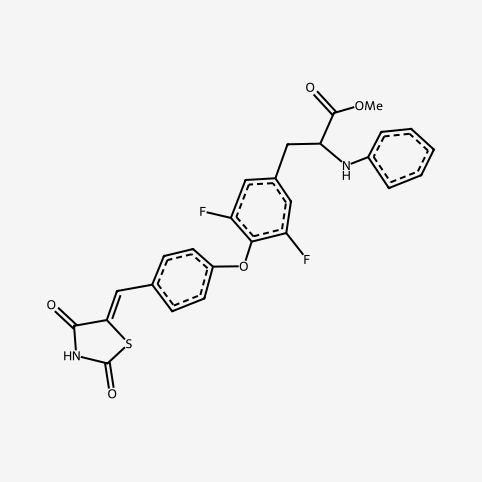 COC(=O)C(Cc1cc(F)c(Oc2ccc(/C=C3\SC(=O)NC3=O)cc2)c(F)c1)Nc1ccccc1